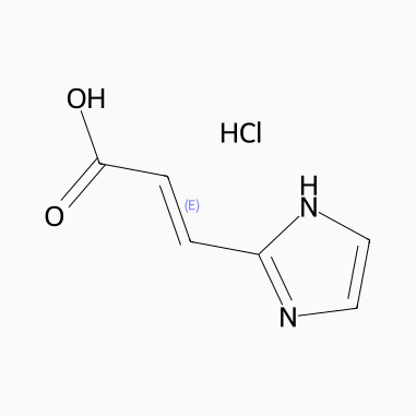 Cl.O=C(O)/C=C/c1ncc[nH]1